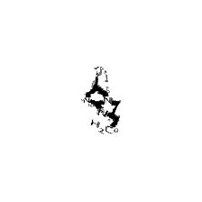 C=Cc1cn2cc(C(F)(F)F)cnc2n1